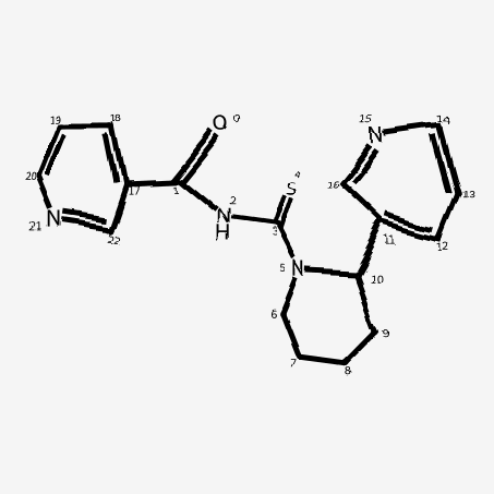 O=C(NC(=S)N1CCCCC1c1cccnc1)c1cccnc1